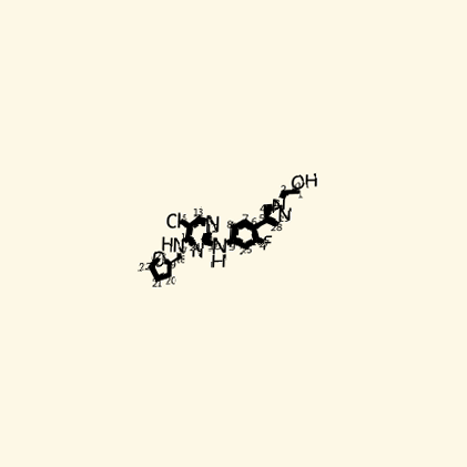 OCCn1cc(-c2ccc(Nc3ncc(Cl)c(NC[C@H]4CCCO4)n3)cc2F)cn1